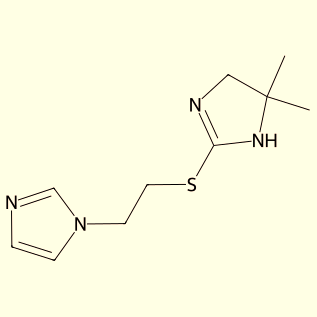 CC1(C)CN=C(SCCn2ccnc2)N1